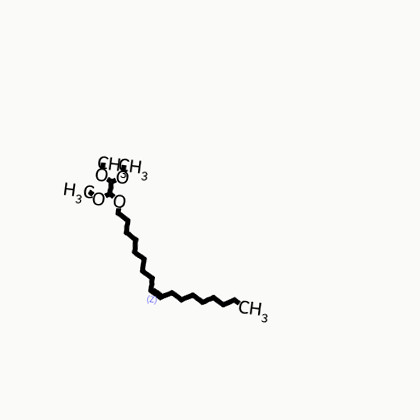 CCCCCCCC/C=C\CCCCCCCCOC(OC)C(OC)OC